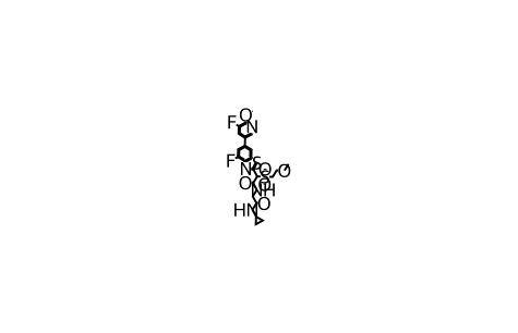 COCCS(=O)(=O)C(C(=O)NCC(=O)NC1CC1)c1nc2c(F)cc(-c3cnc(OC)c(F)c3)cc2s1